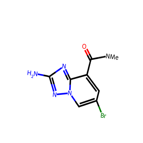 CNC(=O)c1cc(Br)cn2nc(N)nc12